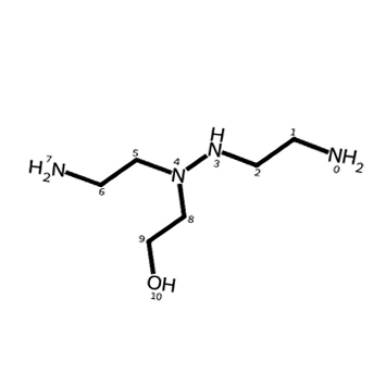 NCCNN(CCN)CCO